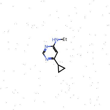 CCNc1cc(C2CC2)ncn1